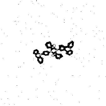 c1ccc(-c2ccc(B3c4oc5ccccc5c4B(c4ccc(N5c6ccccc6Cc6ccccc65)cc4)c4oc5ccccc5c43)cc2-c2ccccc2)cc1